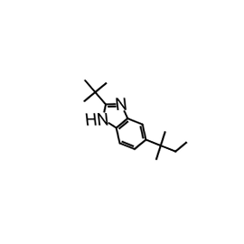 CCC(C)(C)c1ccc2[nH]c(C(C)(C)C)nc2c1